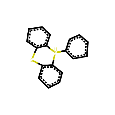 c1ccc([SH]2c3ccccc3Sc3ccccc32)cc1